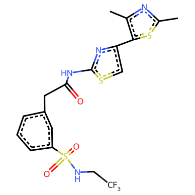 Cc1nc(C)c(-c2csc(NC(=O)Cc3cccc(S(=O)(=O)NCC(F)(F)F)c3)n2)s1